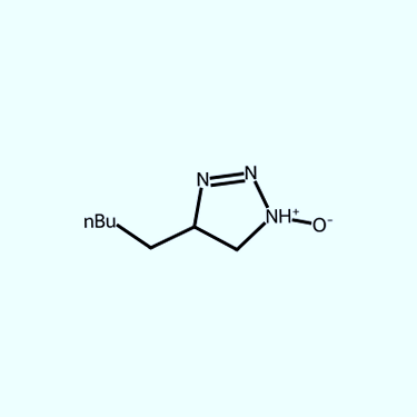 CCCCCC1C[NH+]([O-])N=N1